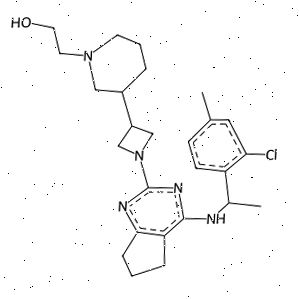 Cc1ccc(C(C)Nc2nc(N3CC(C4CCCN(CCO)C4)C3)nc3c2CCC3)c(Cl)c1